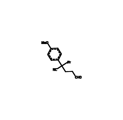 COc1ccc(C(C#N)(CCC=O)C(C)C)cc1